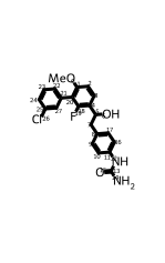 COc1ccc(C(O)Cc2ccc(NC(N)=O)cc2)c(F)c1-c1cccc(Cl)c1